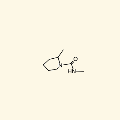 CNC(=O)N1CCCCC1C